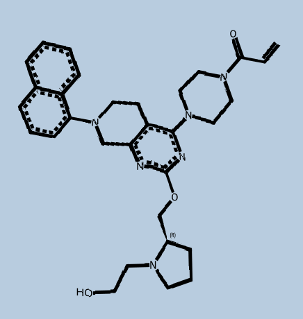 C=CC(=O)N1CCN(c2nc(OC[C@H]3CCCN3CCO)nc3c2CCN(c2cccc4ccccc24)C3)CC1